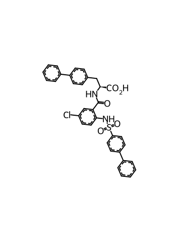 O=C(N[C@@H](Cc1ccc(-c2ccccc2)cc1)C(=O)O)c1cc(Cl)ccc1NS(=O)(=O)c1ccc(-c2ccccc2)cc1